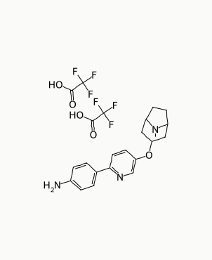 CN1C2CCC1CC(Oc1ccc(-c3ccc(N)cc3)nc1)C2.O=C(O)C(F)(F)F.O=C(O)C(F)(F)F